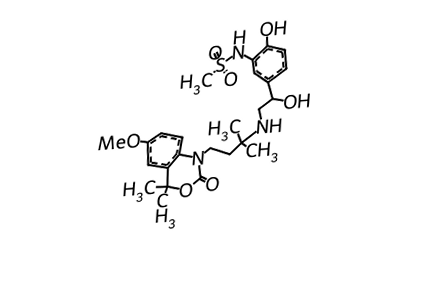 COc1ccc2c(c1)C(C)(C)OC(=O)N2CCC(C)(C)NCC(O)c1ccc(O)c(NS(C)(=O)=O)c1